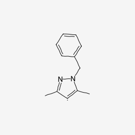 Cc1[c]c(C)n(Cc2ccccc2)n1